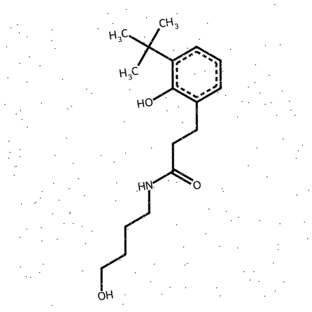 CC(C)(C)c1cccc(CCC(=O)NCCCCO)c1O